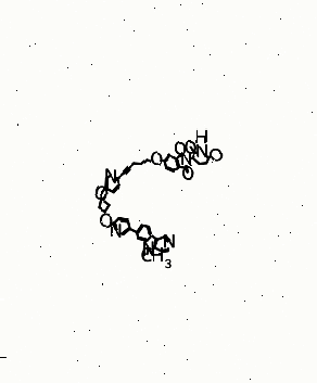 Cn1c2ccncc2c2ccc(-c3ccc(O[C@H]4C[C@H](Oc5ccc(C#CCCCCOc6ccc7c(c6)C(=O)N(C6CCC(=O)NC6=O)C7=O)nc5)C4)nc3)cc21